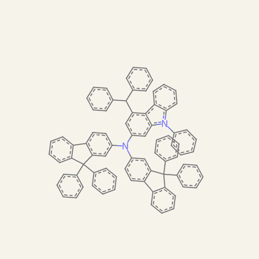 c1ccc(C(c2ccccc2)c2cc(N(c3ccc4c(c3)C(c3ccccc3)(c3ccccc3)c3ccccc3-4)c3ccc4c(c3)C(c3ccccc3)(c3ccccc3)c3ccccc3-4)cc3c2c2ccccc2n3-c2ccccc2)cc1